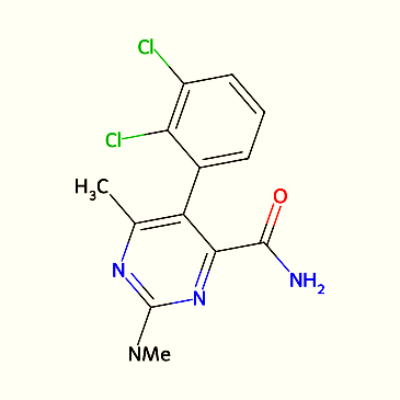 CNc1nc(C)c(-c2cccc(Cl)c2Cl)c(C(N)=O)n1